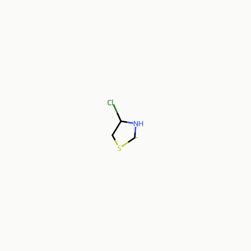 ClC1CS[CH]N1